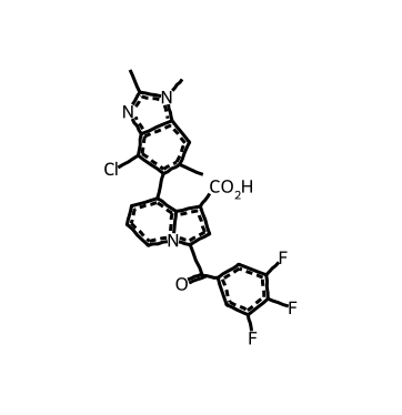 Cc1cc2c(nc(C)n2C)c(Cl)c1-c1cccn2c(C(=O)c3cc(F)c(F)c(F)c3)cc(C(=O)O)c12